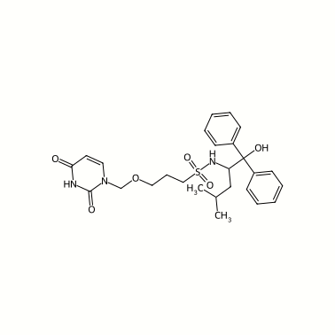 CC(C)CC(NS(=O)(=O)CCCOCn1ccc(=O)[nH]c1=O)C(O)(c1ccccc1)c1ccccc1